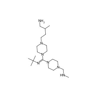 CNCN1CCN(C(=NC(C)(C)C)N2CCN(CCC(C)CN)CC2)CC1